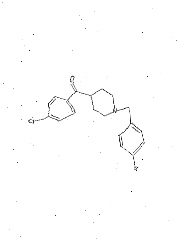 O=C(c1ccc(Cl)cc1)C1CCN(Cc2ccc(Br)cc2)CC1